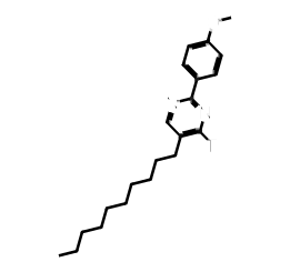 CCCCCCCCCCc1cnc(-c2ccc(OC)cc2)nc1F